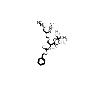 CC(C)(C)OC(=O)C(CSC[C@H](CN=[N+]=[N-])N=[N+]=[N-])NC(=O)OCc1ccccc1